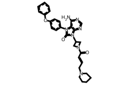 Nc1ncnc2c1n(-c1ccc(Oc3ccccc3)cc1)c(=O)n2C1CN(C(=O)/C=C/CN2CCCCC2)C1